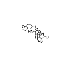 O=C(Nc1c(I)ccc2c1CCO2)NS1(=O)=NC(=O)c2sccc21